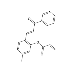 C=CC(=O)Oc1cc(C)ccc1C=CC(=O)c1ccccc1